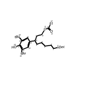 CCCCCCCCCCCCCCCC(CCOC(=O)CC)c1cc(C(C)(C)C)c(O)c(C(C)(C)C)c1